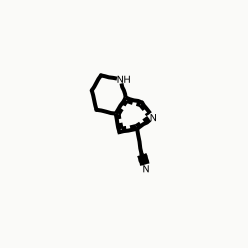 N#Cc1cc2c(cn1)NCCC2